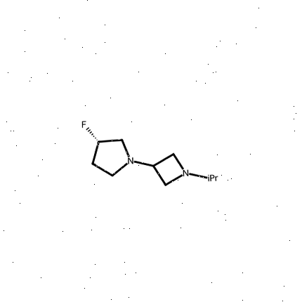 CC(C)N1CC(N2CC[C@H](F)C2)C1